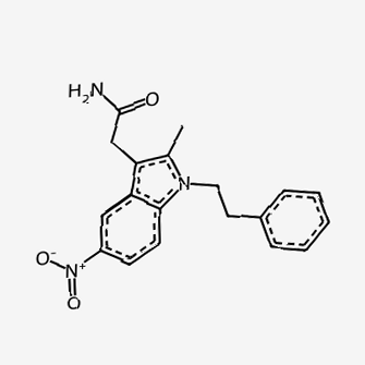 Cc1c(CC(N)=O)c2cc([N+](=O)[O-])ccc2n1CCc1ccccc1